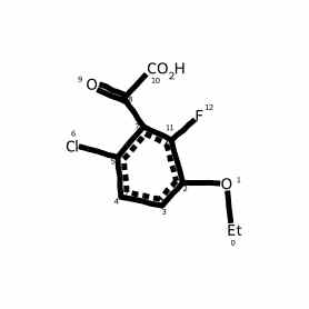 CCOc1ccc(Cl)c(C(=O)C(=O)O)c1F